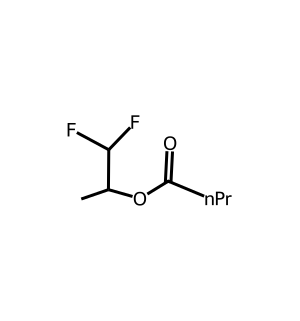 CCCC(=O)OC(C)C(F)F